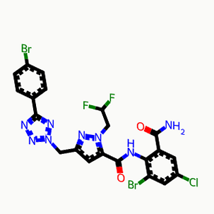 NC(=O)c1cc(Cl)cc(Br)c1NC(=O)c1cc(Cn2nnc(-c3ccc(Br)cc3)n2)nn1CC(F)F